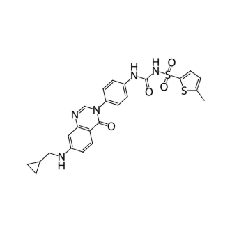 Cc1ccc(S(=O)(=O)NC(=O)Nc2ccc(-n3cnc4cc(NCC5CC5)ccc4c3=O)cc2)s1